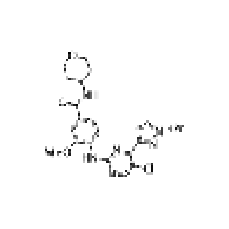 COc1cc(C(=O)NC2CCOCC2)ccc1Nc1ncc(Cl)c(-c2ccn(C(C)C)n2)n1